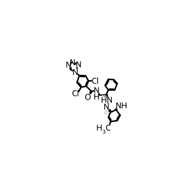 CC1=C/C(=N/N[C@@H](CNC(=O)c2c(Cl)cc(-n3cnnn3)cc2Cl)c2ccccc2)C(=N)C=C1